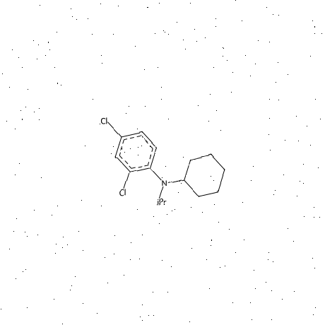 CC(C)N(c1ccc(Cl)cc1Cl)C1CCCCC1